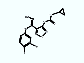 O=C(Nc1nonc1/C(=N/O)Nc1ccc(F)c(Br)c1)NC1CC1